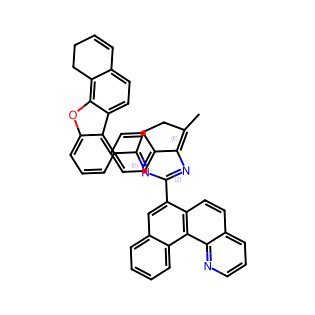 C\C1=C(c2ccccc2)/N=C(c2cc3ccccc3c3c2ccc2cccnc23)\N=C(\c2cccc3oc4c5c(ccc4c23)C=CCC5)CC1